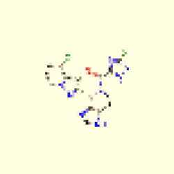 Cn1nc(Cl)nc1C(=O)N1CCc2[nH]cnc2[C@@H]1c1cc2c(Cl)cccn2n1